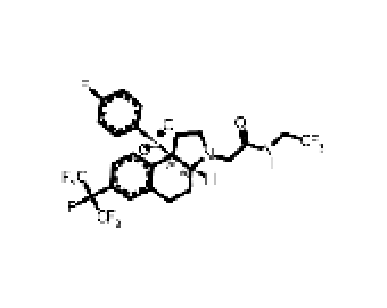 O=C(CN1CC[C@@]2(S(=O)(=O)c3ccc(F)cc3)c3ccc(C(F)(C(F)(F)F)C(F)(F)F)cc3CC[C@@H]12)NCC(F)(F)F